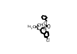 CN(C)C[C@@H]1Cc2cc(Cl)ccc2N(C(=O)OCc2ccccc2)C1